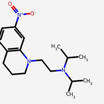 CC(C)N(CCN1CCCc2ccc([N+](=O)[O-])cc21)C(C)C